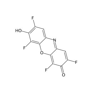 O=c1c(F)cc2nc3cc(F)c(O)c(F)c3oc-2c1F